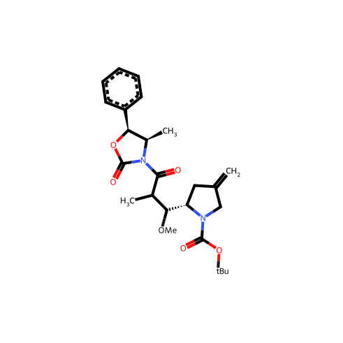 C=C1C[C@@H](C(OC)C(C)C(=O)N2C(=O)O[C@@H](c3ccccc3)[C@H]2C)N(C(=O)OC(C)(C)C)C1